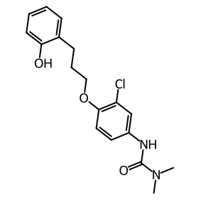 CN(C)C(=O)Nc1ccc(OCCCc2ccccc2O)c(Cl)c1